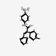 Cc1ccc(/C(=C\c2ccccc2)C(=O)Nc2ccc([N+](=O)[O-])cc2)cc1